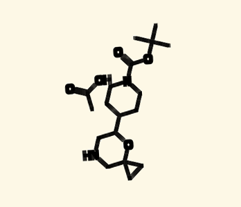 CC(=O)O.CC(C)(C)OC(=O)N1CCC(C2CNCC3(CC3)O2)CC1